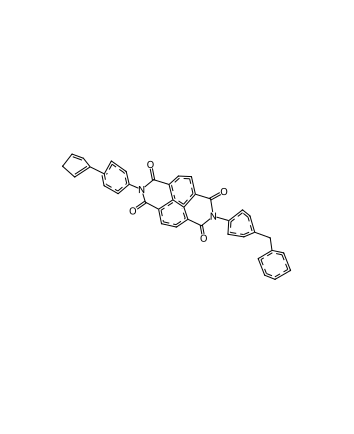 O=C1c2ccc3c4c(ccc(c24)C(=O)N1c1ccc(Cc2ccccc2)cc1)C(=O)N(c1ccc(C2=CCC=C2)cc1)C3=O